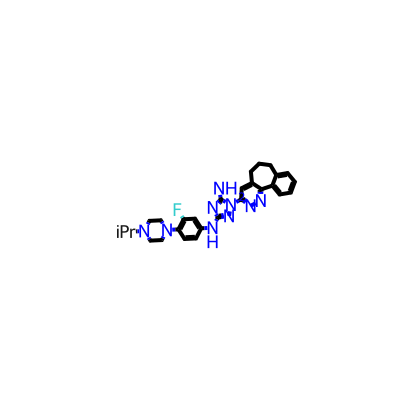 CC(C)N1CCN(c2ccc(Nc3nc(N)n(-c4cc5c(nn4)-c4ccccc4CCC5)n3)cc2F)CC1